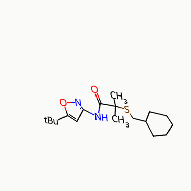 CC(C)(SCC1CCCCC1)C(=O)Nc1cc(C(C)(C)C)on1